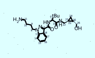 CC(C)(C)C(NC(=O)c1nn(CCCCN)c2ccccc12)C(=O)NC[C@H]1C[C@@H]1CO